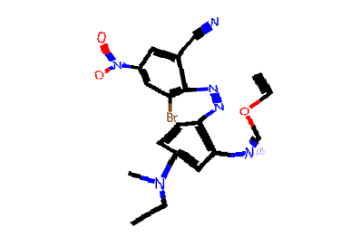 C=CO/C=N\c1cc(N(C)CC)ccc1N=Nc1c(Br)cc([N+](=O)[O-])cc1C#N